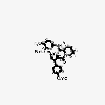 COc1ccc(-c2cn(C)nc2C(=O)N2CC(F)(F)C[C@@H](C)C2CNc2ncc(C(F)(F)F)c(OC)n2)cc1